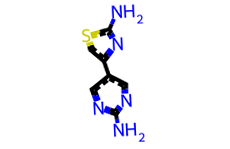 Nc1ncc(-c2csc(N)n2)cn1